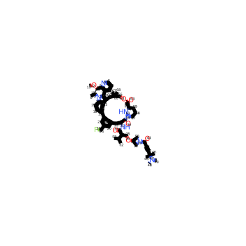 CCn1c(-c2cccnc2[C@H](C)OC)c2c3cc(ccc31)-c1cc(CF)cc(c1)C[C@H](NC(=O)C(COC1CN(C(=O)C#CC(C)(C)N(C)C)C1)C(C)C)C(=O)N1CCC[C@H](N1)C(=O)OCC(C)(C)C2